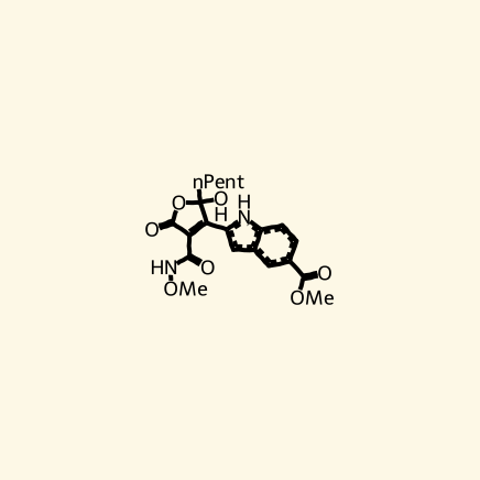 CCCCCC1(O)OC(=O)C(C(=O)NOC)=C1c1cc2cc(C(=O)OC)ccc2[nH]1